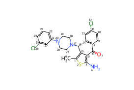 Cc1sc(N)c(C(=O)c2ccc(Cl)cc2)c1CN1CCN(c2cccc(Cl)c2)CC1